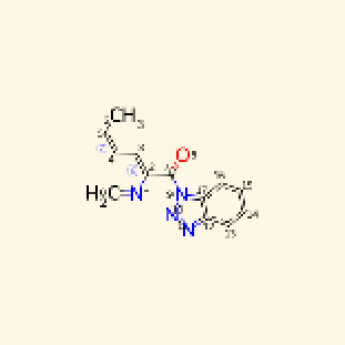 C=N/C(=C\C=C/C)C(=O)n1nnc2ccccc21